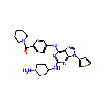 NC1CCC(Nc2nc(Nc3ccc(C(=O)N4CCCCC4)cc3)c3ncn(-c4ccsc4)c3n2)CC1